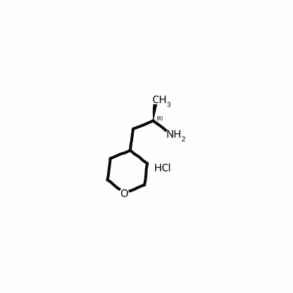 C[C@@H](N)CC1CCOCC1.Cl